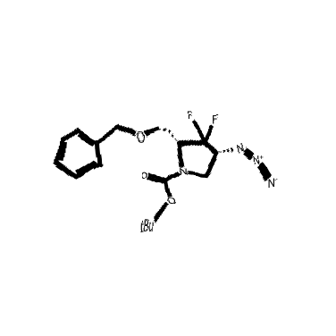 CC(C)(C)OC(=O)N1C[C@@H](N=[N+]=[N-])C(F)(F)[C@H]1COCc1ccccc1